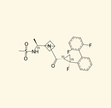 C[C@H](NS(C)(=O)=O)C12CC(C1)N(C(=O)[C@@H]1C[C@@]1(F)c1ccccc1-c1c(F)cccc1F)C2